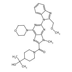 COCc1nc2ccccc2n1-c1nc(N2CCOCC2)c2nc(C(=O)N3CCC(C(C)(C)O)CC3)n(C)c2n1